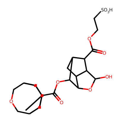 O=C(OCCS(=O)(=O)O)C1C2CC3C(OC(O)C31)C2OC(=O)C12CC3COCC(CC(C3)C1)C2